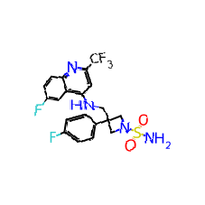 NS(=O)(=O)N1CC(CNc2cc(C(F)(F)F)nc3ccc(F)cc23)(c2ccc(F)cc2)C1